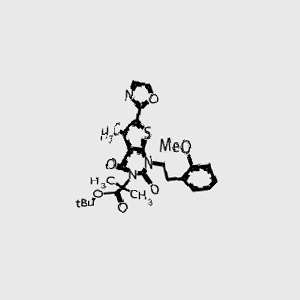 COc1ccccc1CCn1c(=O)n(C(C)(C)C(=O)OC(C)(C)C)c(=O)c2c(C)c(-c3ncco3)sc21